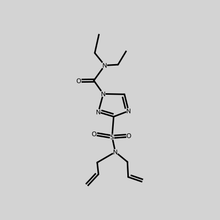 C=CCN(CC=C)S(=O)(=O)c1ncn(C(=O)N(CC)CC)n1